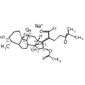 CC(=O)O[C@H]1C[C@@]2(C)[C@H](C[C@@H](O)C3[C@@]4(C)CC[C@@H](O)[C@@H](C)C4CC[C@@]32C)C1=C(CCC(Cl)=C(C)C)C(=O)[O-].[Na+]